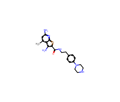 Cc1cc(N)nc2sc(C(=O)NCCc3ccc(N4CCNCC4)cc3)c(N)c12